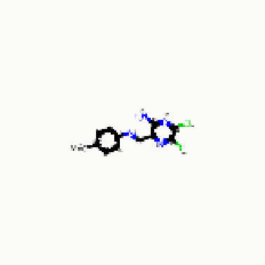 COc1ccc(/N=C/c2nc(Cl)c(Cl)nc2N)cc1